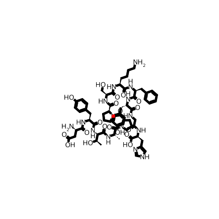 C[C@H](NC(=O)[C@@H](NC(=O)[C@H](Cc1ccc(O)cc1)NC(=O)[C@@H](N)CC(=O)O)[C@@H](C)O)C(=O)N1CCC[C@H]1C(=O)N1CCC[C@H]1C(=O)N[C@@H](CO)C(=O)N[C@@H](CCCCN)C(=O)N[C@@H](Cc1ccccc1)C(=O)N[C@@H](Cc1ccc(O)cc1)C(=O)NCC(=O)N[C@@H](Cc1c[nH]cn1)C(=O)O